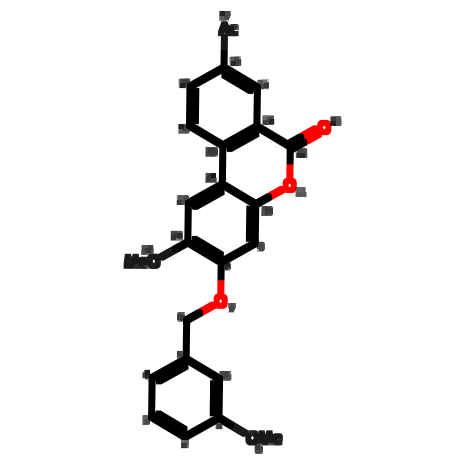 COc1cccc(COc2cc3oc(=O)c4cc(C(C)=O)ccc4c3cc2OC)c1